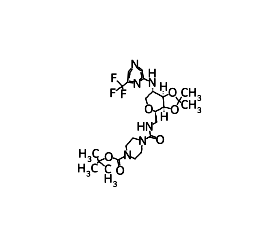 CC(C)(C)OC(=O)N1CCN(C(=O)NC[C@H]2OC[C@H](Nc3cncc(C(F)(F)F)n3)[C@H]3OC(C)(C)O[C@H]32)CC1